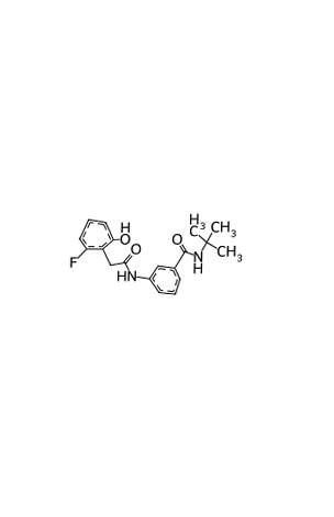 CC(C)(C)NC(=O)c1cccc(NC(=O)Cc2c(O)cccc2F)c1